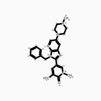 Cc1cc(-c2nc3cc(N4CCN(C)CC4)cnc3n2Cc2ccccc2)cn(C)c1=O